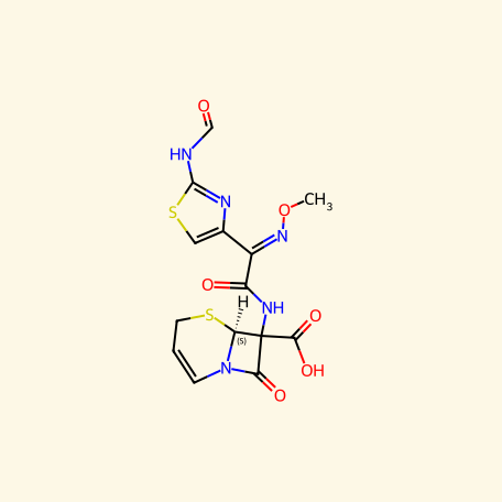 CON=C(C(=O)NC1(C(=O)O)C(=O)N2C=CCS[C@H]21)c1csc(NC=O)n1